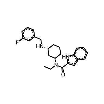 CCN(C(=O)c1cc2ccccc2[nH]1)[C@H]1CCC[C@@H](NCc2cccc(F)c2)C1